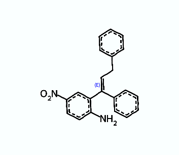 Nc1ccc([N+](=O)[O-])cc1/C(=C/Cc1ccccc1)c1ccccc1